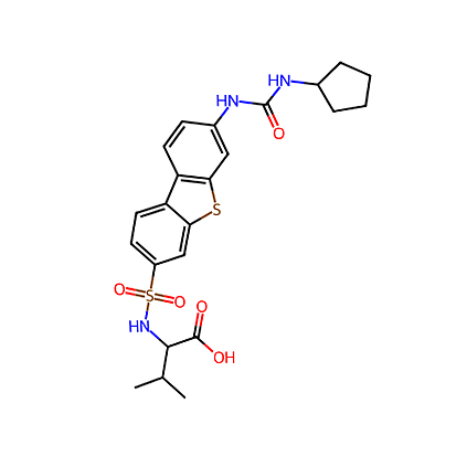 CC(C)C(NS(=O)(=O)c1ccc2c(c1)sc1cc(NC(=O)NC3CCCC3)ccc12)C(=O)O